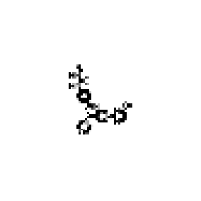 CCNC(=O)Nc1ccc(-c2nc3c(c(N4CCOCC4)n2)CCN(c2nccc(OC)n2)C3)cc1